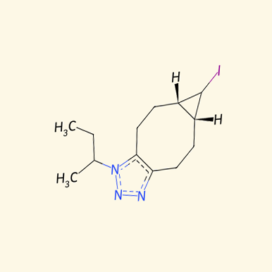 CCC(C)n1nnc2c1CC[C@@H]1C(I)[C@@H]1CC2